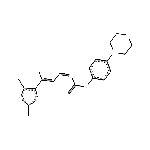 C=C(/N=C\C=C(/N)c1sc(C)nc1C)Nc1ccc(N2CCOCC2)cc1